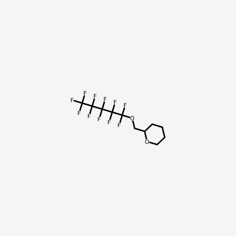 FC(F)(F)C(F)(F)C(F)(F)C(F)(F)C(F)(F)OCC1CCCCO1